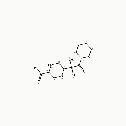 CC(C)(C(=O)N1CCCCC1)C1CNC(C(=O)O)CO1